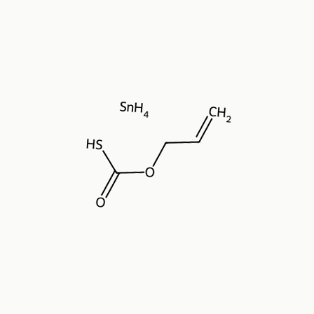 C=CCOC(=O)S.[SnH4]